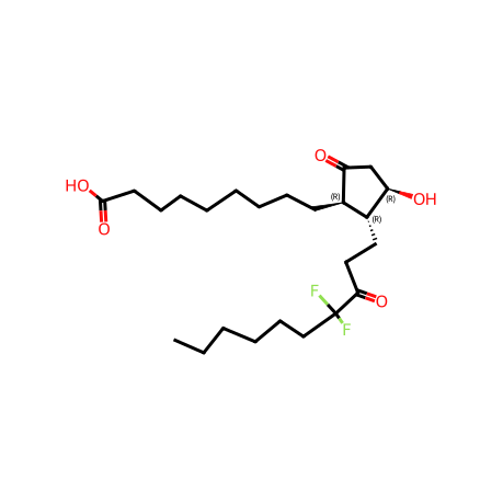 CCCCCCC(F)(F)C(=O)CC[C@H]1[C@H](O)CC(=O)[C@@H]1CCCCCCCCC(=O)O